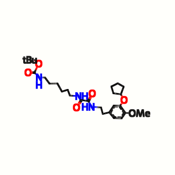 COc1ccc(CCNC(=O)C(=O)NCCCCCCNC(=O)OC(C)(C)C)cc1OC1CCCC1